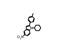 Cc1ccc(-c2cc3cc([N+](=O)[O-])ccc3n2C2CCCCC2)cc1